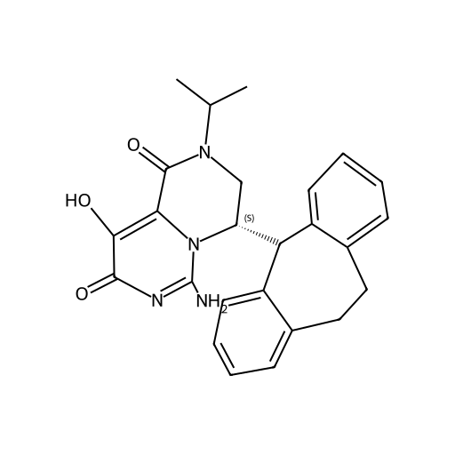 CC(C)N1C[C@H](C2c3ccccc3CCc3ccccc32)n2c(N)nc(=O)c(O)c2C1=O